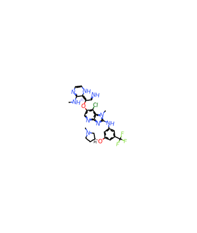 CNC1=NC=CN/C1=C(\C=N)Oc1cnc2nc(Nc3cc(O[C@@H]4CCN(C)C4)cc(C(F)(F)F)c3)n(C)c2c1Cl